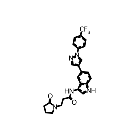 O=C(CCN1CCCC1=O)Nc1c[nH]c2ccc(-c3cnn(-c4ccc(C(F)(F)F)cc4)c3)cc12